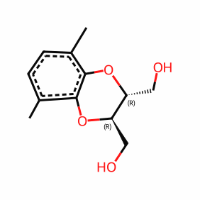 Cc1ccc(C)c2c1O[C@H](CO)[C@@H](CO)O2